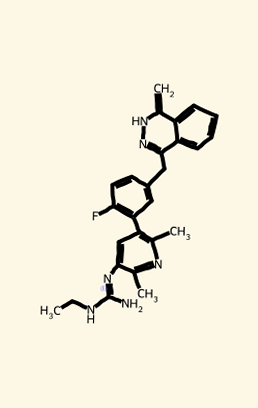 C=C1NN=C(Cc2ccc(F)c(-c3cc(/N=C(\N)NCC)c(C)nc3C)c2)c2ccccc21